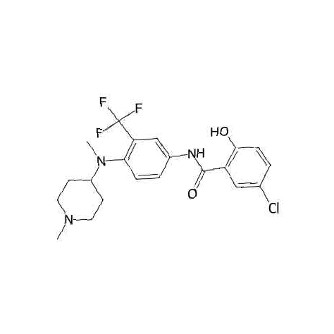 CN1CCC(N(C)c2ccc(NC(=O)c3cc(Cl)ccc3O)cc2C(F)(F)F)CC1